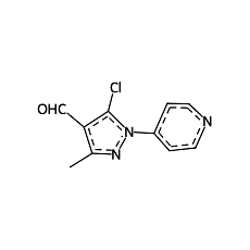 Cc1nn(-c2ccncc2)c(Cl)c1C=O